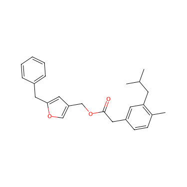 Cc1ccc(CC(=O)OCc2coc(Cc3ccccc3)c2)cc1CC(C)C